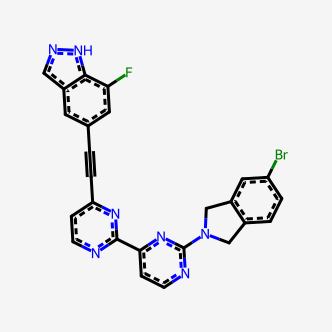 Fc1cc(C#Cc2ccnc(-c3ccnc(N4Cc5ccc(Br)cc5C4)n3)n2)cc2cn[nH]c12